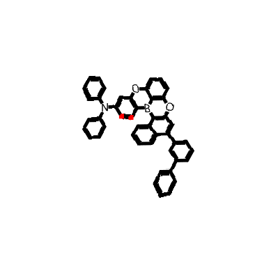 c1ccc(-c2cccc(-c3cc4c(c5ccccc35)B3c5c(cccc5Oc5cc(N(c6ccccc6)c6ccccc6)c6ccccc6c53)O4)c2)cc1